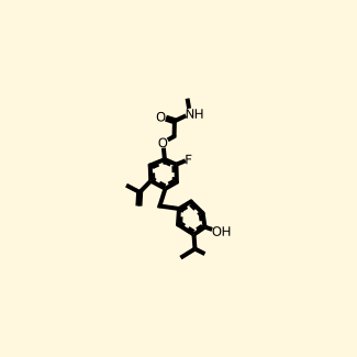 C=C(C)c1cc(OCC(=O)NC)c(F)cc1Cc1ccc(O)c(C(C)C)c1